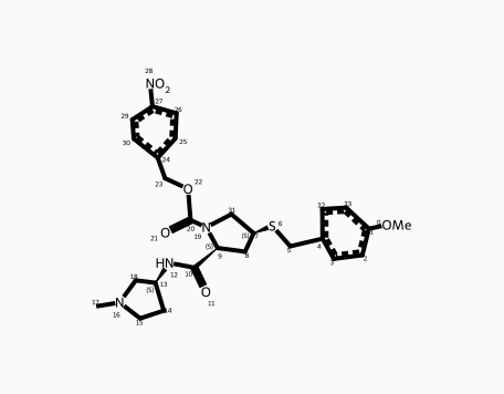 COc1ccc(CS[C@H]2C[C@@H](C(=O)N[C@H]3CCN(C)C3)N(C(=O)OCc3ccc([N+](=O)[O-])cc3)C2)cc1